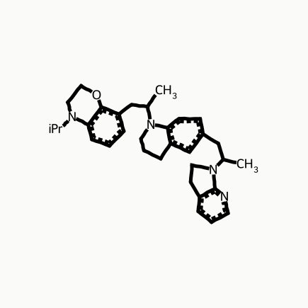 CC(C)N1CCOc2c(CC(C)N3CCCc4cc(CC(C)N5CCc6cccnc65)ccc43)cccc21